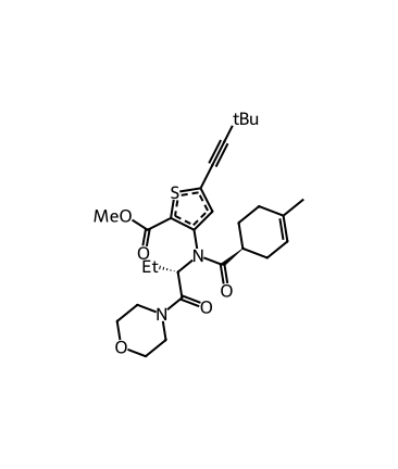 CC[C@@H](C(=O)N1CCOCC1)N(C(=O)[C@@H]1CC=C(C)CC1)c1cc(C#CC(C)(C)C)sc1C(=O)OC